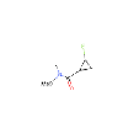 CON(C)C(=O)C1CC1F